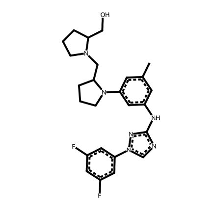 Cc1cc(Nc2ncn(-c3cc(F)cc(F)c3)n2)cc(N2CCCC2CN2CCCC2CO)c1